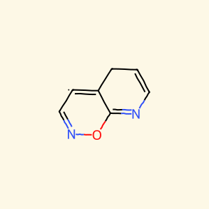 [C]1=C2CC=CN=C2ON=C1